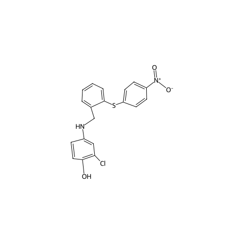 O=[N+]([O-])c1ccc(Sc2ccccc2CNc2ccc(O)c(Cl)c2)cc1